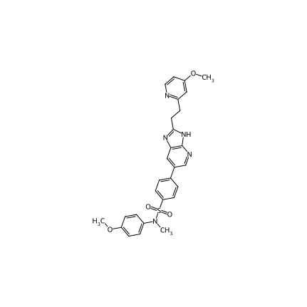 COc1ccc(N(C)S(=O)(=O)c2ccc(-c3cnc4[nH]c(CCc5cc(OC)ccn5)nc4c3)cc2)cc1